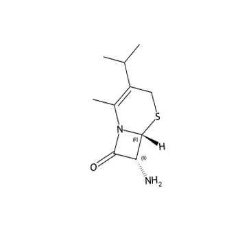 CC1=C(C(C)C)CS[C@@H]2[C@H](N)C(=O)N12